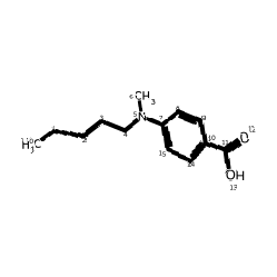 CCCCCN(C)c1ccc(C(=O)O)cc1